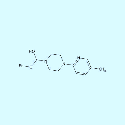 CCOC(O)N1CCN(c2ccc(C)cn2)CC1